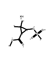 COC(=O)C1C(OS(C)(=O)=O)C1(C)C.[KH]